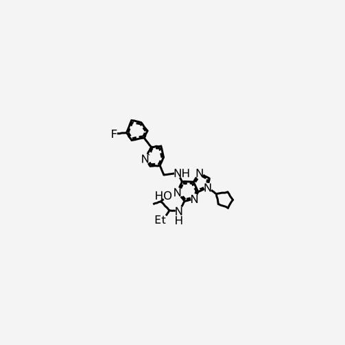 CCC(Nc1nc(NCc2ccc(-c3cccc(F)c3)nc2)c2ncn(C3CCCC3)c2n1)C(C)O